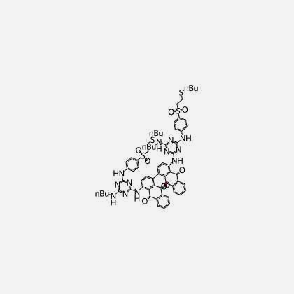 CCCCNc1nc(Nc2ccc(S(=O)(=O)CCSCCCC)cc2)nc(Nc2ccc(-c3ccc(Nc4nc(NCCCC)nc(Nc5ccc(S(=O)(=O)CCSCCCC)cc5)n4)c4c3C(=O)c3ccccc3C4=O)c3c2C(=O)c2ccccc2C3=O)n1